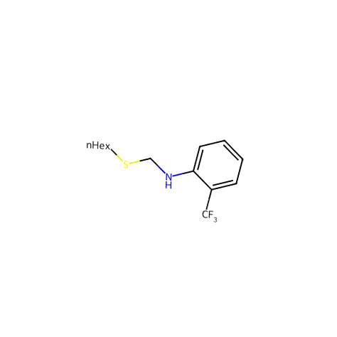 CCCCCCSCNc1ccccc1C(F)(F)F